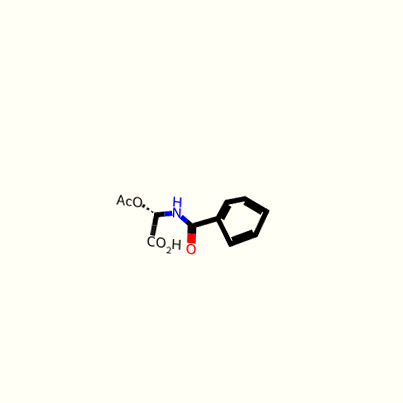 CC(=O)O[C@H](NC(=O)c1ccccc1)C(=O)O